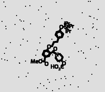 COC(=O)c1ccc(OCCCc2ccc(O[Si](C(C)C)(C(C)C)C(C)C)cc2)c(C(=O)N2CCC(OC(=O)O)CC2)c1